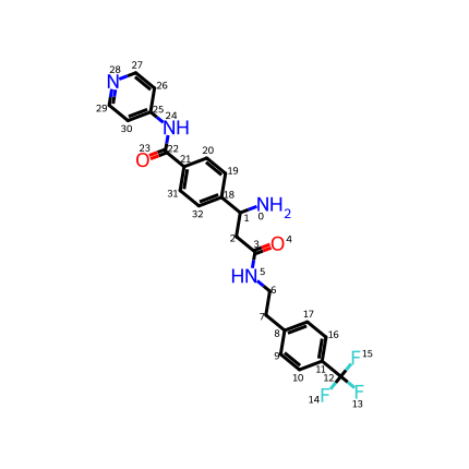 NC(CC(=O)NCCc1ccc(C(F)(F)F)cc1)c1ccc(C(=O)Nc2ccncc2)cc1